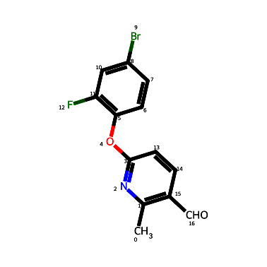 Cc1nc(Oc2ccc(Br)cc2F)ccc1C=O